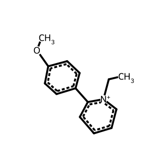 CC[n+]1ccccc1-c1ccc(OC)cc1